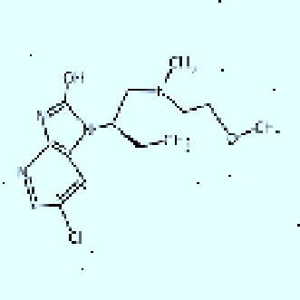 CC[C@H](CN(C)CCOC)n1c(O)nc2ncc(Cl)cc21